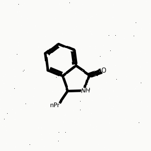 CCCC1NC(=O)c2ccccc21